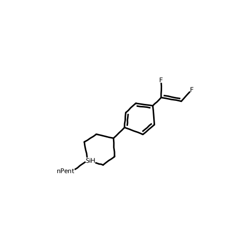 CCCCC[SiH]1CCC(c2ccc(C(F)=CF)cc2)CC1